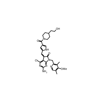 COc1c(C)cnc(CN2C(=O)C(=Cc3cc(C(=O)N4CCC(CCO)CC4)c[nH]3)c3c(Cl)nc(N)nc32)c1C